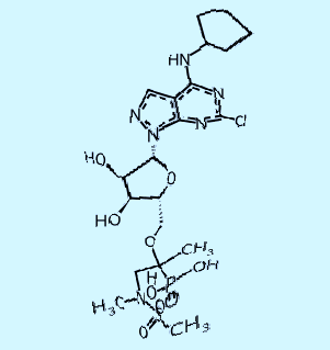 CN(CC(C)(OC[C@H]1O[C@@H](n2ncc3c(NC4CCCC4)nc(Cl)nc32)[C@H](O)[C@@H]1O)P(=O)(O)O)S(C)(=O)=O